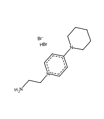 Br.NCC[n+]1ccc(N2CCCCC2)cc1.[Br-]